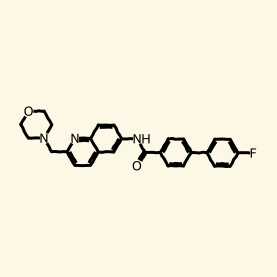 O=C(Nc1ccc2nc(CN3CCOCC3)ccc2c1)c1ccc(-c2ccc(F)cc2)cc1